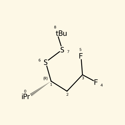 CC(C)[C@@H](CC(F)F)SSC(C)(C)C